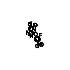 COc1cc2ncnc(Oc3ccc([N+](=O)[O-])cc3F)c2nc1OC